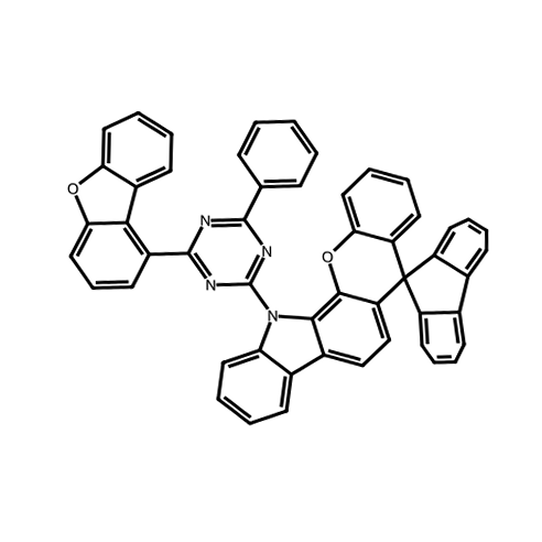 c1ccc(-c2nc(-c3cccc4oc5ccccc5c34)nc(-n3c4ccccc4c4ccc5c(c43)Oc3ccccc3C53c4ccccc4-c4ccccc43)n2)cc1